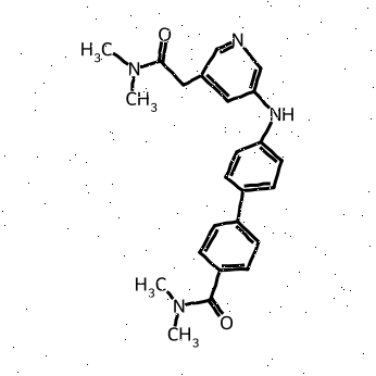 CN(C)C(=O)Cc1cncc(Nc2ccc(-c3ccc(C(=O)N(C)C)cc3)cc2)c1